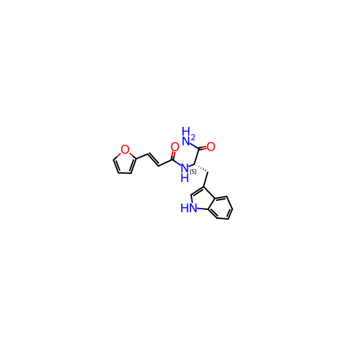 NC(=O)[C@H](Cc1c[nH]c2ccccc12)NC(=O)C=Cc1ccco1